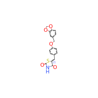 O=C1NC(=O)/C(=C/c2ccc(OCc3ccc4c(c3)OCO4)cc2)S1